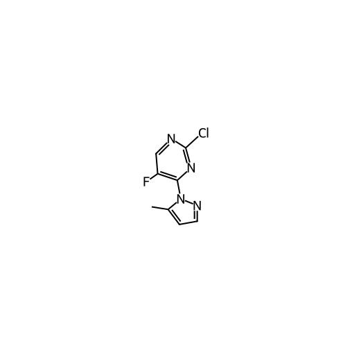 Cc1ccnn1-c1nc(Cl)ncc1F